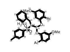 COc1ccc(C(C)=O)c(OP(Oc2cc(OC)ccc2C(C)=O)N(Cc2ccccc2N)S(=O)(=O)c2ccc(C)cc2)c1